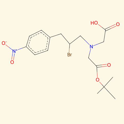 CC(C)(C)OC(=O)CN(CC(=O)O)CC(Br)Cc1ccc([N+](=O)[O-])cc1